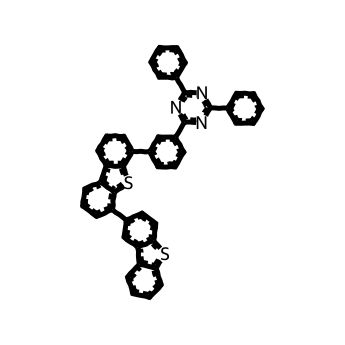 c1ccc(-c2nc(-c3ccccc3)nc(-c3cccc(-c4cccc5c4sc4c(-c6ccc7sc8ccccc8c7c6)cccc45)c3)n2)cc1